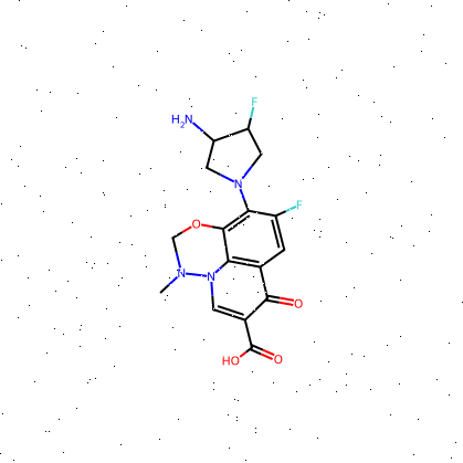 CN1COc2c(N3CC(N)C(F)C3)c(F)cc3c(=O)c(C(=O)O)cn1c23